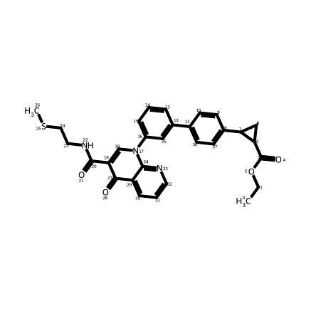 CCOC(=O)C1CC1c1ccc(-c2cccc(-n3cc(C(=O)NCCSC)c(=O)c4cccnc43)c2)cc1